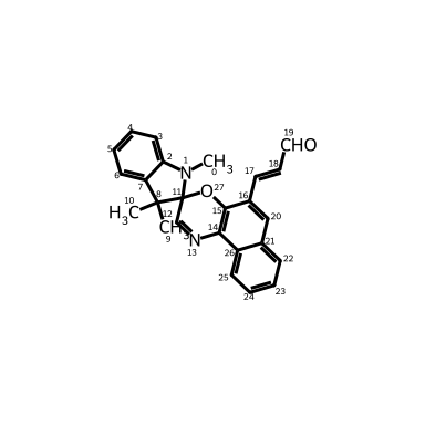 CN1c2ccccc2C(C)(C)C12C=Nc1c(c(C=CC=O)cc3ccccc13)O2